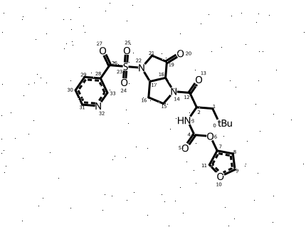 CC(C)(C)CC(NC(=O)Oc1ccoc1)C(=O)N1CCC2C1C(=O)CN2S(=O)(=O)C(=O)c1cccnc1